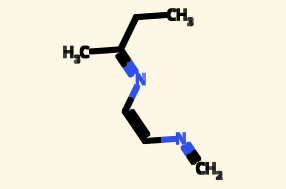 C=N/C=C\N=C(/C)CC